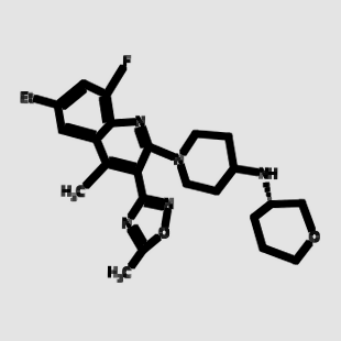 CCc1cc(F)c2nc(N3CCC(N[C@H]4CCCOC4)CC3)c(-c3noc(C)n3)c(C)c2c1